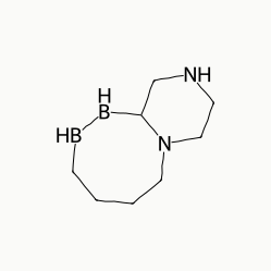 B1BC2CNCCN2CCCC1